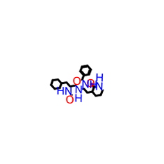 O=CNC(CC1CCCCC1)C(=O)NC(CC1CCCNC1=O)NCc1ccccc1